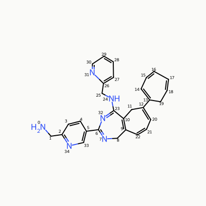 NCc1ccc(C2=NCC3=C(CC(C4=CC=CC=CC4)=CC=C3)C(NCc3ccccn3)=N2)cn1